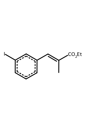 CCOC(=O)/C(C)=C/c1cccc(I)c1